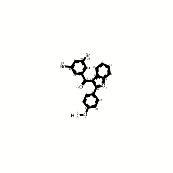 COc1ccc(-c2oc3ccccc3c2C(=O)c2cc(Br)cc(Br)c2)cc1